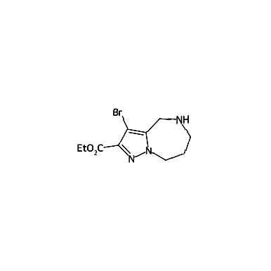 CCOC(=O)c1nn2c(c1Br)CNCCC2